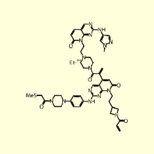 C=CC(=O)N1CC(CCn2c(=O)cc(C(=C)C(=O)N3CCN(CCn4c(=O)ccc5cnc(Nc6cnn(C)c6)nc54)[C@@H](CC)C3)c3cnc(Nc4ccc(N5CCN(C(=O)CSC)CC5)cc4)nc32)C1